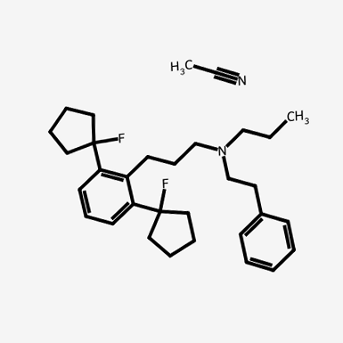 CC#N.CCCN(CCCc1c(C2(F)CCCC2)cccc1C1(F)CCCC1)CCc1ccccc1